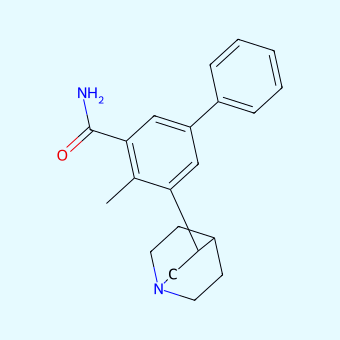 Cc1c(C(N)=O)cc(-c2ccccc2)cc1C1CN2CCC1CC2